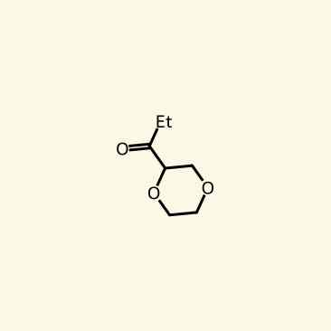 CCC(=O)C1COCCO1